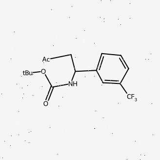 CC(=O)CC(NC(=O)OC(C)(C)C)c1cccc(C(F)(F)F)c1